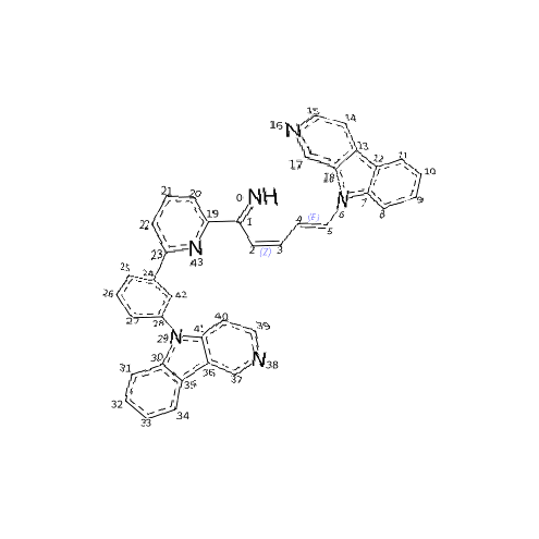 N=C(/C=C\C=C\n1c2ccccc2c2ccncc21)c1cccc(-c2cccc(-n3c4ccccc4c4cnccc43)c2)n1